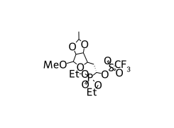 CCOP(=O)(OCC)[C@H](CC1OC(OC)C2OC(C)OC12)OS(=O)(=O)C(F)(F)F